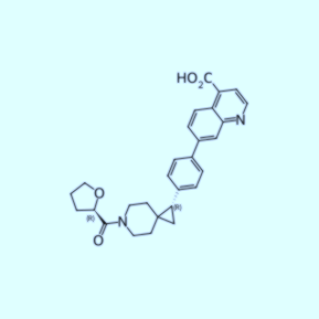 O=C(O)c1ccnc2cc(-c3ccc([C@@H]4CC45CCN(C(=O)[C@H]4CCCO4)CC5)cc3)ccc12